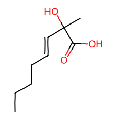 CCCCC=CC(C)(O)C(=O)O